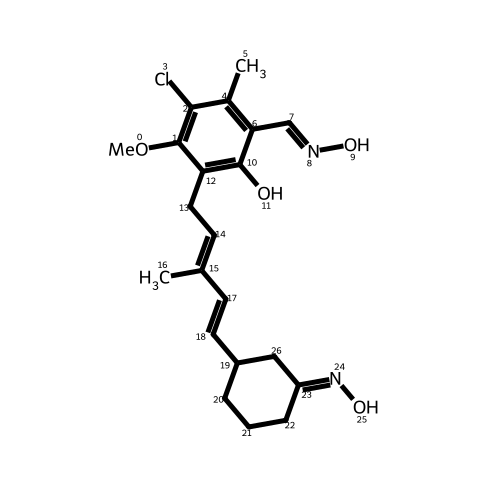 COc1c(Cl)c(C)c(/C=N/O)c(O)c1C/C=C(C)/C=C/C1CCC/C(=N\O)C1